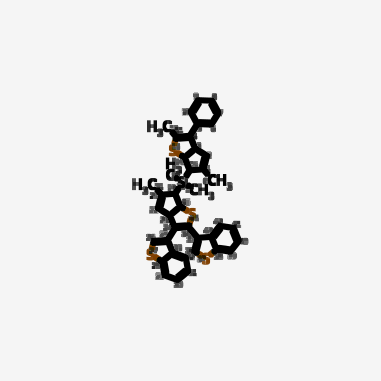 CC1=CC2C(c3ccccc3)=C(C)SC2C1[Si](C)(C)C1C(C)=CC2C(c3csc4ccccc34)=C(c3csc4ccccc34)SC21